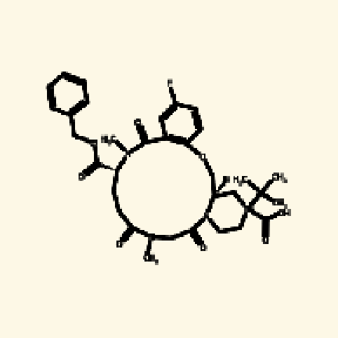 CN1CC(=O)N2CC[N+](C(=O)O)(C(C)(C)C)C[C@@H]2COc2ccc(F)cc2C(=O)N(C)[C@@H](C(=O)OCc2ccccc2)CCC1=O